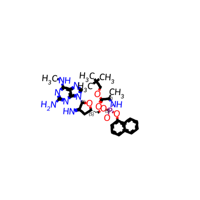 CNc1nc(N)nc2c1ncn2[C@@H]1O[C@H](CO[P@@](=O)(N[C@H](C)C(=O)OCC(C)(C)C)Oc2cccc3ccccc23)CC1=N